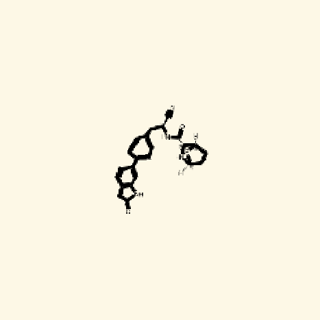 N#C[C@H](Cc1ccc(-c2ccc3c(c2)NC(=O)C3)cc1)NC(=O)[C@H]1N[C@@H]2CC[C@H]1P2